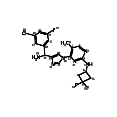 Cc1cnc(NC2CC(F)(F)C2)nc1-n1cnc(C(N)c2cc(F)cc(Cl)c2)c1